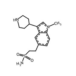 Cn1cc(C2CCNCC2)c2cc(CCS(N)(=O)=O)ccc21